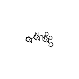 O=C1C(=O)N(C2CCCC2)CCN1Cc1ncc(-c2ccccn2)cn1